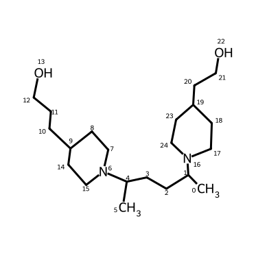 CC(CCC(C)N1CCC(CCCO)CC1)N1CCC(CCO)CC1